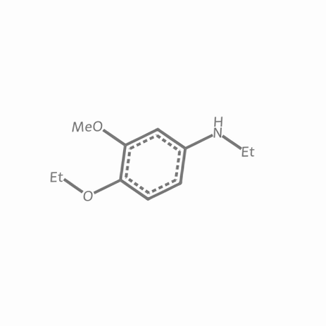 CCNc1ccc(OCC)c(OC)c1